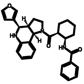 O=C(N[C@@H]1CCCC[C@@H]1C(=O)N1CC[C@@H]2[C@H](c3ccoc3)Nc3ccccc3[C@@H]21)c1ccccc1